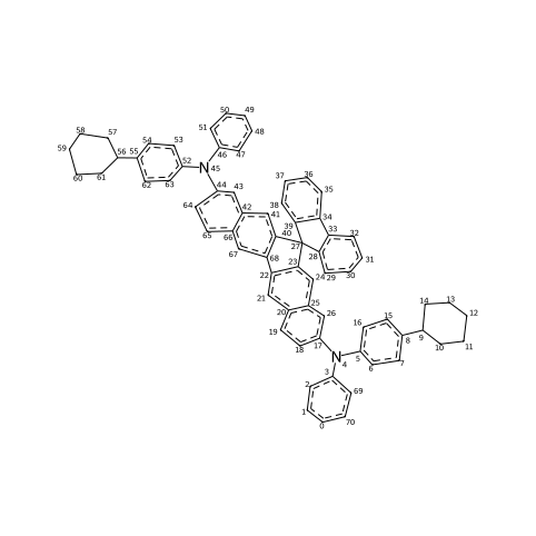 c1ccc(N(c2ccc(C3CCCCC3)cc2)c2ccc3cc4c(cc3c2)C2(c3ccccc3-c3ccccc32)c2cc3cc(N(c5ccccc5)c5ccc(C6CCCCC6)cc5)ccc3cc2-4)cc1